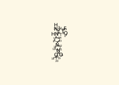 COc1cc(Nc2ccc(N3CCN(C(=O)OC(C)(C)C)CC3)cc2)c(N)cc1F